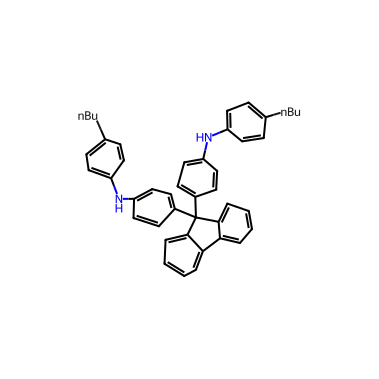 CCCCc1ccc(Nc2ccc(C3(c4ccc(Nc5ccc(CCCC)cc5)cc4)c4ccccc4-c4ccccc43)cc2)cc1